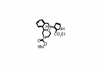 CCOC(=O)c1[nH]ccc1NCc1ccccc1C1CN(C(=O)OC(C)(C)C)CCO1